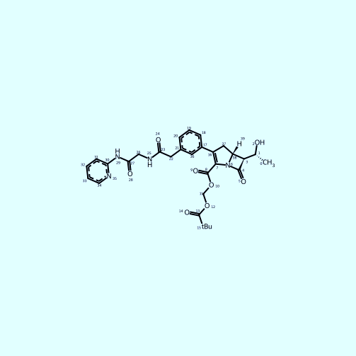 C[C@@H](O)[C@H]1C(=O)N2C(C(=O)OCOC(=O)C(C)(C)C)=C(c3cccc(CC(=O)NCC(=O)Nc4ccccn4)c3)C[C@H]12